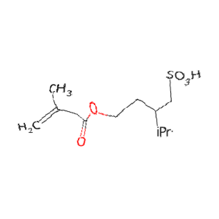 C=C(C)C(=O)OCCC(CS(=O)(=O)O)[C](C)C